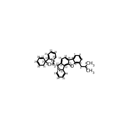 CC(C)Cc1cccc2c1oc1c3c(ccc12)[C@@H](CN1CC=CC=C1C1(C)C=CC=CC1)N1C=CC=CC31